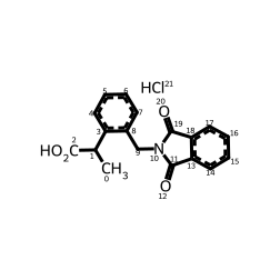 CC(C(=O)O)c1ccccc1CN1C(=O)c2ccccc2C1=O.Cl